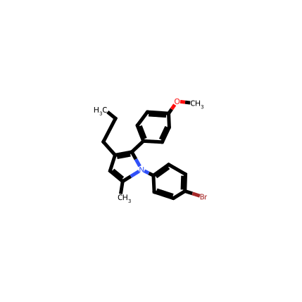 CCCc1cc(C)n(-c2ccc(Br)cc2)c1-c1ccc(OC)cc1